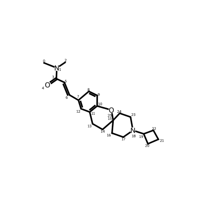 CN(C)C(=O)/C=C/c1ccc2c(c1)CCC1(CCN(C3CCC3)CC1)O2